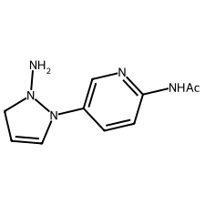 CC(=O)Nc1ccc(N2C=CCN2N)cn1